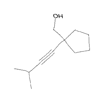 CC(C)C#CC1(CO)CCCC1